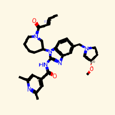 C/C=C/C(=O)N1CCCCC(n2c(NC(=O)c3cc(C)nc(C)c3)nc3cc(CN4CC[C@H](OC)C4)ccc32)C1